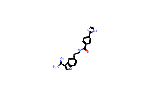 N=C(N)c1c[nH]c2ccc(CCNC(=O)c3ccc(-c4ncc[nH]4)cc3)cc12